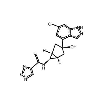 O=C(N[C@H]1[C@@H]2C[C@](O)(c3cc(Cl)cc4[nH]ncc34)C[C@@H]21)c1cnon1